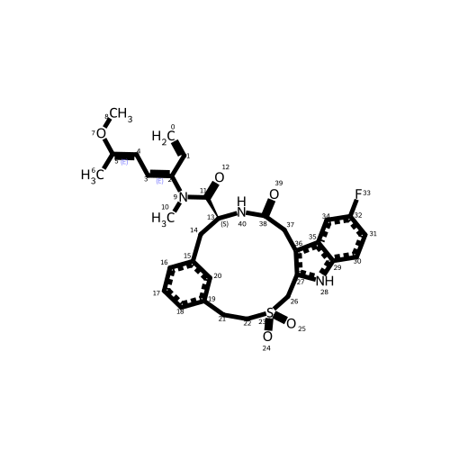 C=C/C(=C\C=C(/C)OC)N(C)C(=O)[C@@H]1Cc2cccc(c2)CCS(=O)(=O)Cc2[nH]c3ccc(F)cc3c2CC(=O)N1